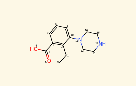 CCc1c(C(=O)O)cccc1N1CCNCC1